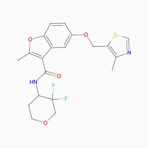 Cc1ncsc1COc1ccc2oc(C)c(C(=O)NC3CCOCC3(F)F)c2c1